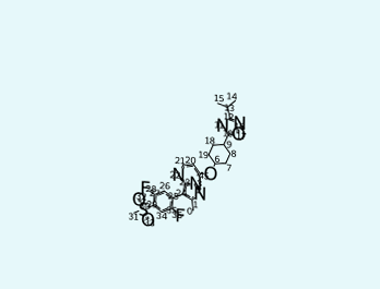 Cc1nn2c(OC3CCC(c4nc(C(C)C)no4)CC3)ccnc2c1-c1cc(F)c(S(C)(=O)=O)cc1F